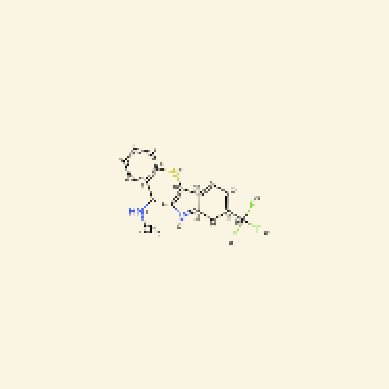 CNCc1ccccc1SC1=CN=C2CC(C(F)(F)F)=CC=C12